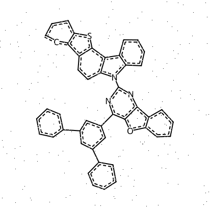 c1ccc(-c2cc(-c3ccccc3)cc(-c3nc(-n4c5ccccc5c5c6sc7ccccc7c6ccc54)nc4c3oc3ccccc34)c2)cc1